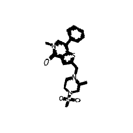 CC1CN(S(C)(=O)=O)CCN1Cc1cc2c(=O)n(C)cc(-c3ccccc3)c2s1